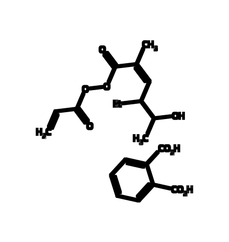 C=CC(=O)OOC(=O)C(C)=CC(CC)C(C)O.O=C(O)c1ccccc1C(=O)O